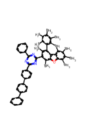 Bc1c(B)c(B)c2c(c1B)Bc1c(B)c(B)c(B)c3oc4c(B)c(-c5nc(-c6ccccc6)nc(-c6ccc(-c7ccc(-c8ccccc8)cc7)cc6)n5)c(B)c-2c4c13